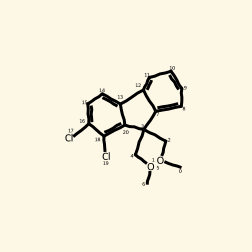 COCC1(COC)c2ccccc2-c2ccc(Cl)c(Cl)c21